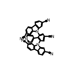 N#Cc1cc(-n2c3cc(C#N)ccc3c3ccc(C#N)cc32)c(-c2ccncc2)c(-n2c3cc(C#N)ccc3c3ccc(C#N)cc32)c1